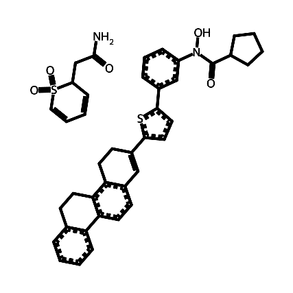 NC(=O)CC1C=CC=CS1(=O)=O.O=C(C1CCCC1)N(O)c1cccc(-c2ccc(C3=Cc4ccc5c(c4CC3)CCc3ccccc3-5)s2)c1